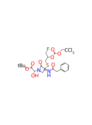 CC(C)(C)OC(=O)C(O)N1C[C@](NC(=O)Cc2ccccc2)(SCC(CF)OC(=O)OCC(Cl)(Cl)Cl)C1=O